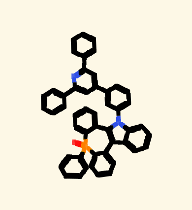 O=P1(c2ccccc2)c2ccccc2-c2c(n(-c3cccc(-c4cc(-c5ccccc5)nc(-c5ccccc5)c4)c3)c3ccccc23)-c2ccccc21